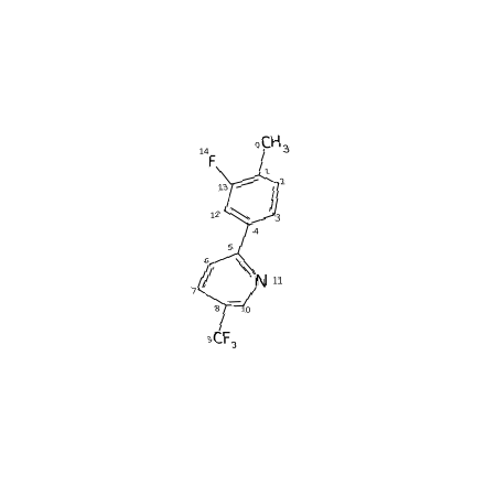 Cc1ccc(-c2ccc(C(F)(F)F)cn2)cc1F